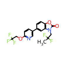 CC(F)(F)Cn1c(=O)oc2ccc(-c3ccc(OCC(F)(F)F)nc3)cc21